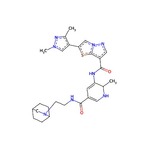 Cc1nn(C)cc1-c1cn2ncc(C(=O)NC3=CC(C(=O)NCCN4CC5CCC4CC5)=CNC3C)c2s1